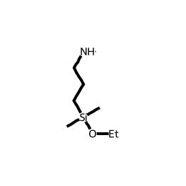 CCO[Si](C)(C)CCC[NH]